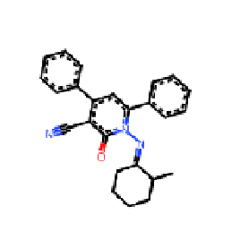 CC1CCCCC1=Nn1c(-c2ccccc2)cc(-c2ccccc2)c(C#N)c1=O